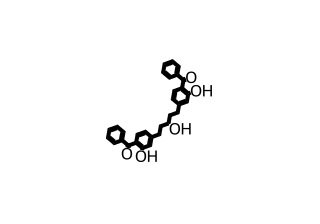 O=C(c1ccccc1)c1ccc(CCC(O)CCc2ccc(C(=O)c3ccccc3)c(O)c2)cc1O